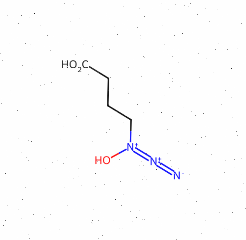 [N-]=[N+]=[N+](O)CCCC(=O)O